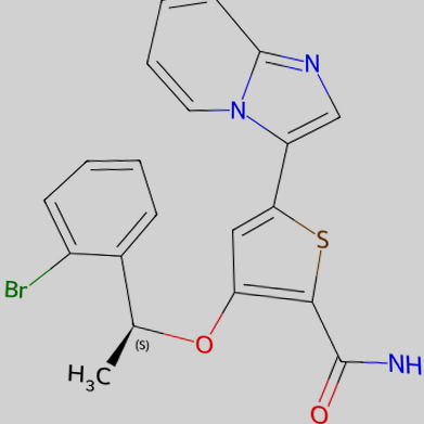 C[C@H](Oc1cc(-c2cnc3ccccn23)sc1C(N)=O)c1ccccc1Br